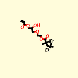 C=CC(=O)OCC(O)COCCOC(=O)C(C)(CC(C)(C)CC)C(C)C